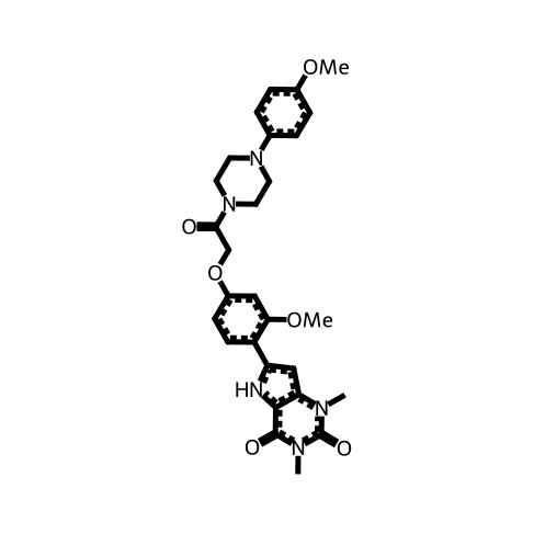 COc1ccc(N2CCN(C(=O)COc3ccc(-c4cc5c([nH]4)c(=O)n(C)c(=O)n5C)c(OC)c3)CC2)cc1